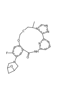 CC1CCCOc2cc(F)c(N3CC4CC(C3)O4)cc2C(=O)Nc2cccc(n2)-c2nncn21